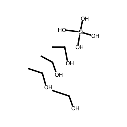 CCO.CCO.CCO.CCO.O[Si](O)(O)O